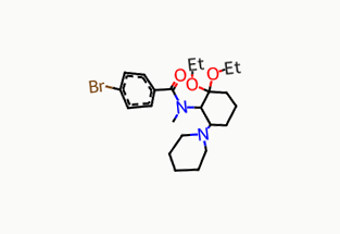 CCOC1(OCC)CCCC(N2CCCCC2)C1N(C)C(=O)c1ccc(Br)cc1